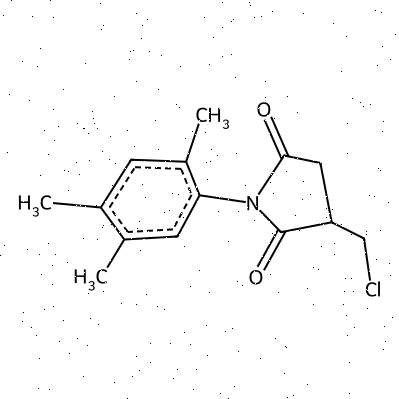 Cc1cc(C)c(N2C(=O)CC(CCl)C2=O)cc1C